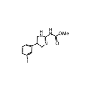 COC(=O)NC1=NCC(c2cccc(I)c2)CN1